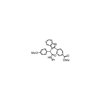 COC(=O)c1ccc(-c2nc3ccccc3n2C(C(=O)NC(C)C)c2ccc(OC)cc2)cc1